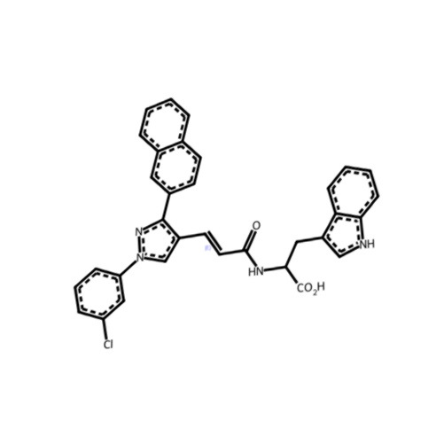 O=C(/C=C/c1cn(-c2cccc(Cl)c2)nc1-c1ccc2ccccc2c1)NC(Cc1c[nH]c2ccccc12)C(=O)O